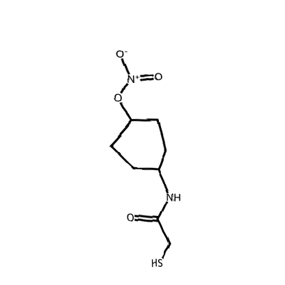 O=C(CS)NC1CCC(O[N+](=O)[O-])CC1